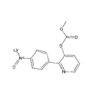 COC(=O)Oc1cccnc1-c1ccc([N+](=O)[O-])cc1